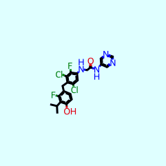 CC(C)c1c(O)ccc(Cc2c(Cl)cc(NCC(=O)Nc3cncnc3)c(F)c2Cl)c1F